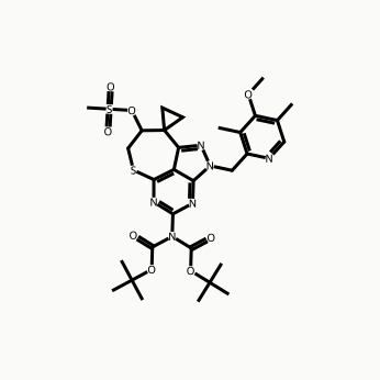 COc1c(C)cnc(Cn2nc3c4c(nc(N(C(=O)OC(C)(C)C)C(=O)OC(C)(C)C)nc42)SCC(OS(C)(=O)=O)C32CC2)c1C